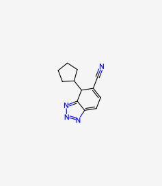 N#CC1=CC=C2N=NN=C2C1C1CCCC1